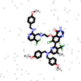 COc1ccc(CNc2nccc(C(F)F)c2CNCCOc2c(Cl)c(-c3nc(N(Cc4ccc(OC)cc4)Cc4ccc(OC)cc4)cc(C)c3C(F)(F)F)cc3nc[nH]c(=O)c23)cc1